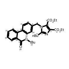 CCCCc1nc(C(=O)OCC)c(C(=O)OCC)n1Cc1ccc(-c2ccccc2C(=O)OC(C)(C)C)cc1